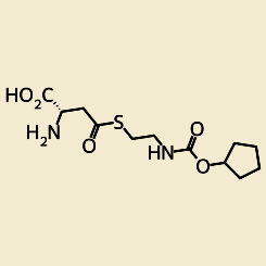 N[C@@H](CC(=O)SCCNC(=O)OC1CCCC1)C(=O)O